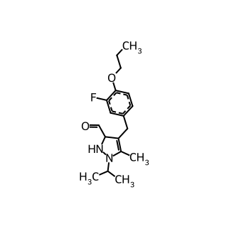 CCCOc1ccc(CC2=C(C)N(C(C)C)NC2C=O)cc1F